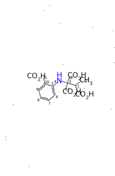 CC(C(=O)O)C(Nc1ccccc1C(=O)O)(C(=O)O)C(=O)O